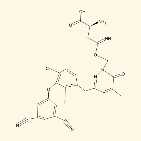 Cc1cc(Cc2ccc(Cl)c(Oc3cc(C#N)cc(C#N)c3)c2F)nn(COC(=N)C[C@H](N)C(=O)O)c1=O